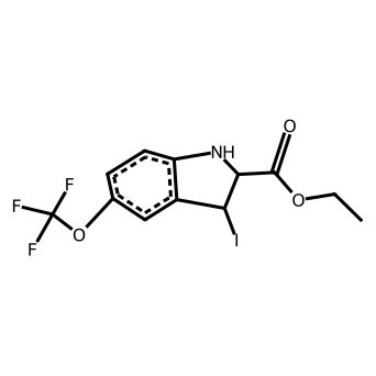 CCOC(=O)C1Nc2ccc(OC(F)(F)F)cc2C1I